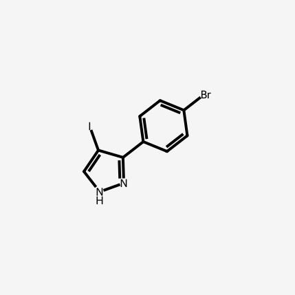 Brc1ccc(-c2n[nH]cc2I)cc1